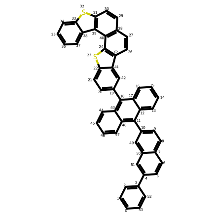 c1ccc(-c2ccc3ccc(-c4c5ccccc5c(-c5ccc6sc7c(ccc8ccc9sc%10ccccc%10c9c87)c6c5)c5ccccc45)cc3c2)cc1